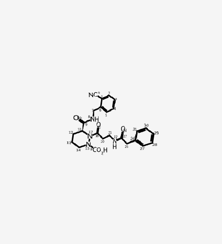 N#Cc1ccccc1CNC(=O)[C@@H]1CCCN(C(=O)O)N1C(=O)CCNC(=O)Cc1ccccc1